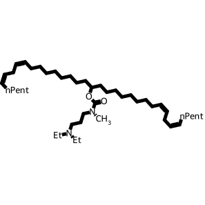 CCCCC/C=C\C/C=C\CCCCCCCCC(CCCCCCCC/C=C\C/C=C\CCCCC)OC(=O)N(C)CCCN(CC)CC